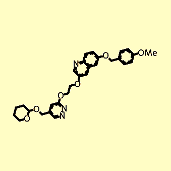 COc1ccc(COc2ccc3ncc(OCCOc4cc(COC5CCCCO5)cnn4)cc3c2)cc1